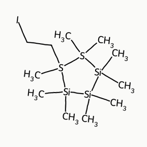 C[Si]1(C)[Si](C)(C)S(C)(C)S(C)(CCI)[Si]1(C)C